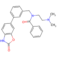 CN(C)CCN(Cc1cccc(-c2ccc3[nH]c(=O)oc3c2)c1)C(=O)c1ccccc1